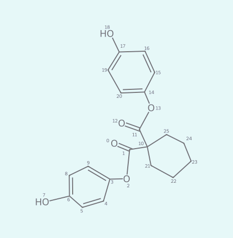 O=C(Oc1ccc(O)cc1)C1(C(=O)Oc2ccc(O)cc2)CCCCC1